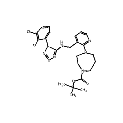 CC(C)(C)OC(=O)N1CCCN(c2ncccc2CNc2nnnn2-c2cccc(Cl)c2Cl)CC1